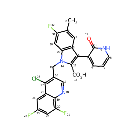 Cc1cc2c(-c3ccc[nH]c3=O)c(C(=O)O)n(Cc3cnc4c(F)cc(F)cc4c3Cl)c2cc1F